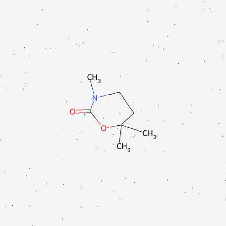 CN1CCC(C)(C)OC1=O